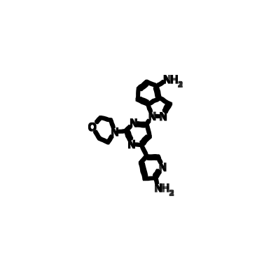 Nc1ccc(-c2cc(-n3ncc4c(N)cccc43)nc(N3CCOCC3)n2)cn1